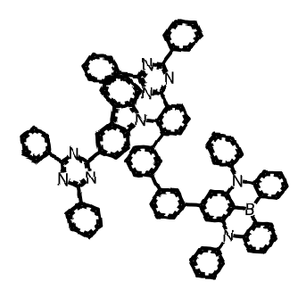 c1ccc(-c2nc(-c3ccccc3)nc(-c3ccc4c(c3)c3ccccc3n4-c3c(-c4cccc(-c5cccc(-c6cc7c8c(c6)N(c6ccccc6)c6ccccc6B8c6ccccc6N7c6ccccc6)c5)c4)cccc3-c3nc(-c4ccccc4)nc(-c4ccccc4)n3)n2)cc1